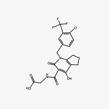 O=C(O)CNC(=O)c1c(O)c2c(n(Cc3ccc(Cl)c(C(F)(F)F)c3)c1=O)CSC2